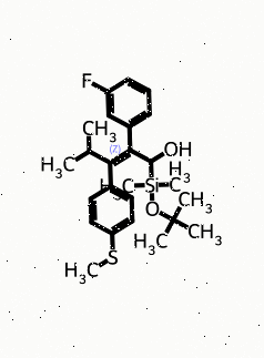 CSc1ccc(/C(=C(/c2cccc(F)c2)C(O)[Si](C)(C)OC(C)(C)C)C(C)C)cc1